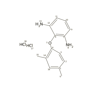 Cc1ccc(Oc2c(N)cccc2N)c(C)c1.Cl.Cl